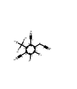 N#CCc1c(F)c(F)c(C#N)c(C(F)(F)F)c1C#N